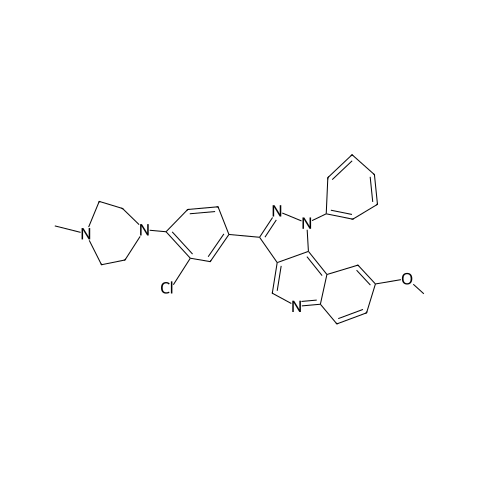 COc1ccc2ncc3c(-c4ccc(N5CCN(C)CC5)c(Cl)c4)nn(-c4ccccc4)c3c2c1